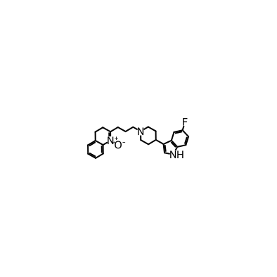 [O-][N+]1=C(CCCN2CCC(c3c[nH]c4ccc(F)cc34)CC2)CCc2ccccc21